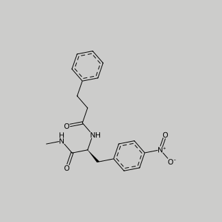 CNC(=O)[C@H](Cc1ccc([N+](=O)[O-])cc1)NC(=O)CCc1ccccc1